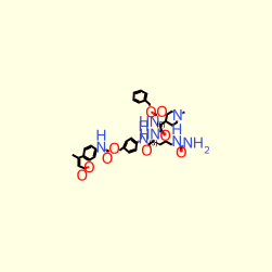 Cc1cc(=O)oc2cc(NC(=O)OCc3ccc(NC(=O)[C@H](CCCNC(N)=O)NC(=O)[C@@H](NC(=O)OCc4ccccc4)C4CCN(C)CC4)cc3)ccc12